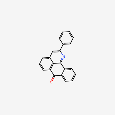 O=C1c2ccccc2-c2nc(-c3ccccc3)cc3cccc1c23